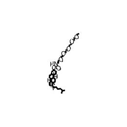 CCOCCOCCOCCOCCOCCNC(=O)O[C@H]1CC[C@@]2(C)C(=CC[C@H]3[C@@H]4CC[C@H]([C@H](C)CCCC(C)C)[C@@]4(C)CC[C@@H]32)C1